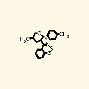 C=C1CO[C@H](c2ccc(C)cc2)C(C2=NSOc3ccccc32)C1